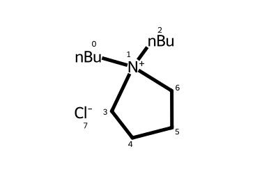 CCCC[N+]1(CCCC)CCCC1.[Cl-]